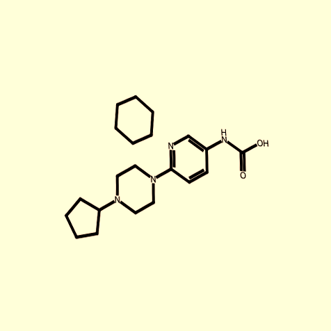 C1CCCCC1.O=C(O)Nc1ccc(N2CCN(C3CCCC3)CC2)nc1